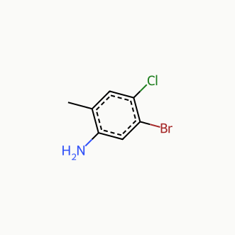 Cc1cc(Cl)c(Br)cc1N